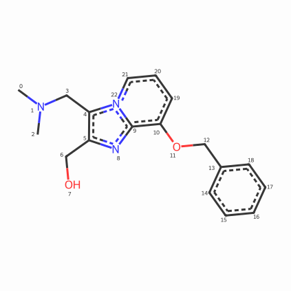 CN(C)Cc1c(CO)nc2c(OCc3ccccc3)cccn12